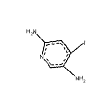 Nc1cc(I)c(N)cn1